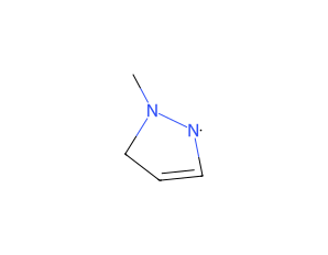 CN1CC=C[N]1